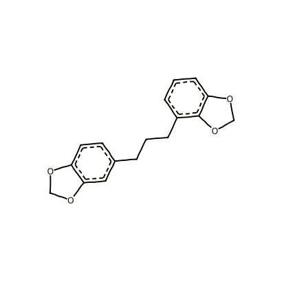 c1cc(CCCc2ccc3c(c2)OCO3)c2c(c1)OCO2